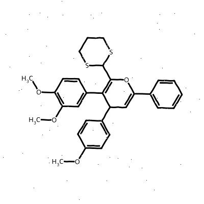 COc1ccc(C2C=C(c3ccccc3)OC(C3SCCCS3)=C2c2ccc(OC)c(OC)c2)cc1